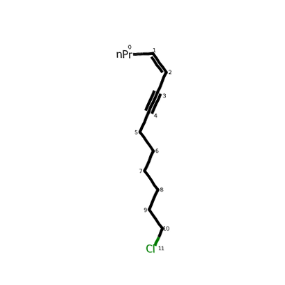 CCC/C=C\C#CCCCCCCCl